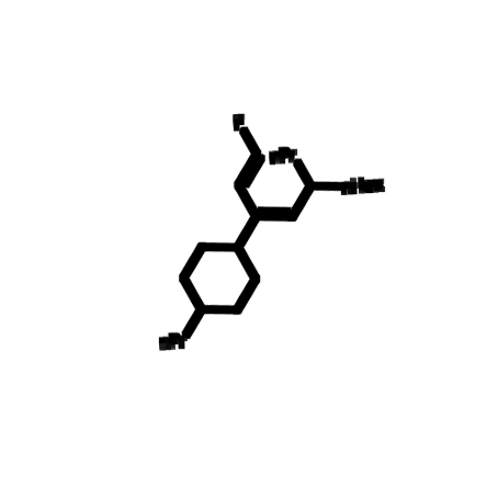 CCCCCCC(/C=C(\C=C\F)C1CCC(CCC)CC1)CCC